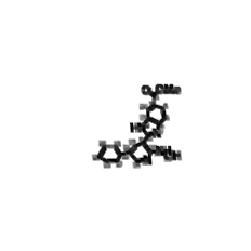 COC(=O)c1ccc2nc(-c3cc(-c4ccccc4)cnc3N)[nH]c2c1.Cl